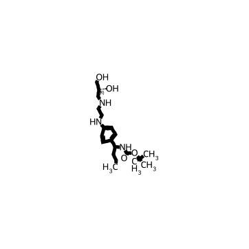 CCCC(NC(=O)OC(C)(C)C)c1ccc(NCCNC[C@@H](O)CO)cc1